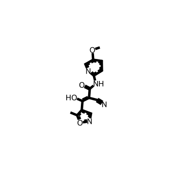 COc1ccc(NC(=O)/C(C#N)=C(\O)c2cnoc2C)nc1